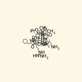 CC(C)C[C@H](NC(=O)[C@H](C)NC(=O)[C@H](C)NC(=O)[C@H](CCCCN)NC(=O)CN)C(=O)N(C)[C@@H](C)C(=O)N(C(=O)[C@@H](N)CC1CCCCC1)[C@H]([C]=O)CCCNC(=N)N